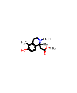 CCCCOC(=O)CC1(C(C)(C)C)c2ccc(O)c(C)c2CCN1C(=O)O